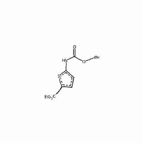 CCOC(=O)c1ccc(NC(=O)OC(C)(C)C)s1